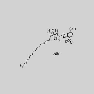 Br.CCCCCCCCCCCCCCCC(C)(C)NCCNc1cc(C)ccc1[N+](=O)[O-]